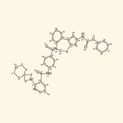 Cc1cnc(N2CC3(CCOCC3)C2)c(C(=O)Nc2ccc(C(=O)N3CCc4cc(NC(=O)Oc5ccccc5)sc4-c4ccccc43)cc2)c1